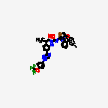 CC(CNC(O)/N=C1\SCC(=O)N1c1ccccc1C(C)(C)C)c1ccc(-c2ncn(-c3ccc(OC(F)(F)F)cc3)n2)cc1